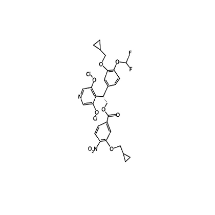 O=C(OC[C@@H](c1ccc(OC(F)F)c(OCC2CC2)c1)c1c(OCl)cncc1OCl)c1ccc([N+](=O)[O-])c(OCC2CC2)c1